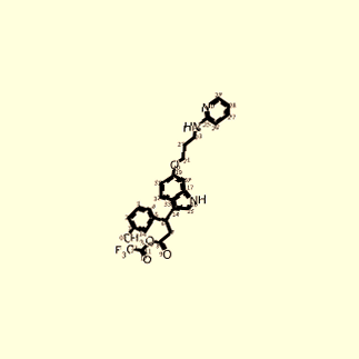 Cc1cccc(C(CC(=O)OC(=O)C(F)(F)F)c2c[nH]c3cc(OCCCNc4ccccn4)ccc23)c1